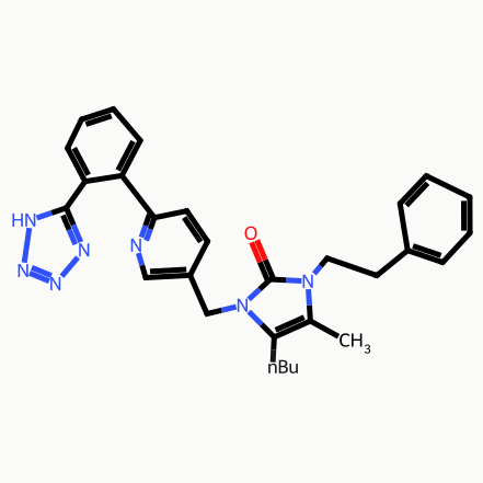 CCCCc1c(C)n(CCc2ccccc2)c(=O)n1Cc1ccc(-c2ccccc2-c2nnn[nH]2)nc1